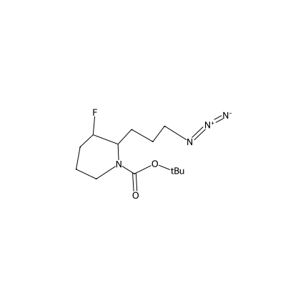 CC(C)(C)OC(=O)N1CCCC(F)C1CCCN=[N+]=[N-]